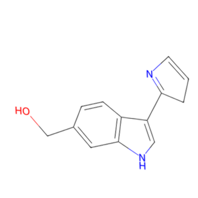 OCc1ccc2c(C3=NC=CC3)c[nH]c2c1